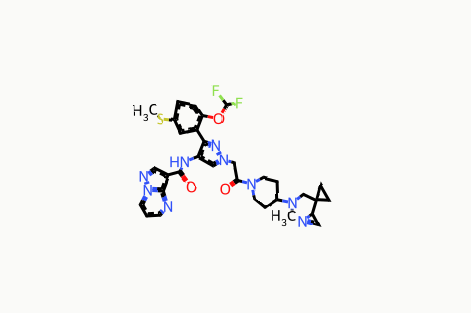 CSc1ccc(OC(F)F)c(-c2nn(CC(=O)N3CCC(N(C)CC4(C5C=N5)CC4)CC3)cc2NC(=O)c2cnn3cccnc23)c1